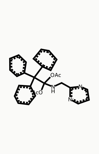 CC(=O)OC(NCc1ncccn1)(OC(C)=O)C(c1ccccc1)(c1ccccc1)c1ccccc1